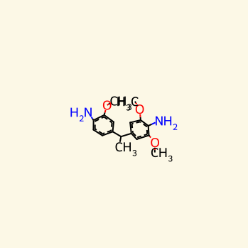 COc1cc(C(C)c2cc(OC)c(N)c(OC)c2)ccc1N